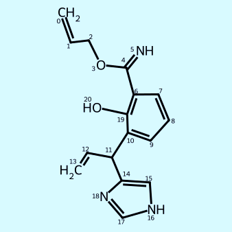 C=CCOC(=N)c1cccc(C(C=C)c2c[nH]cn2)c1O